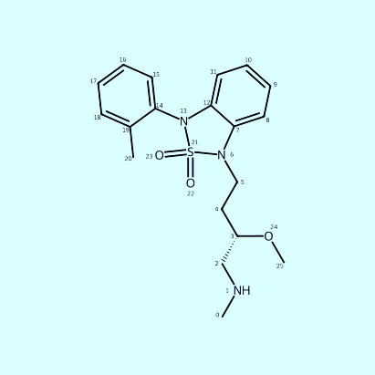 CNC[C@H](CCN1c2ccccc2N(c2ccccc2C)S1(=O)=O)OC